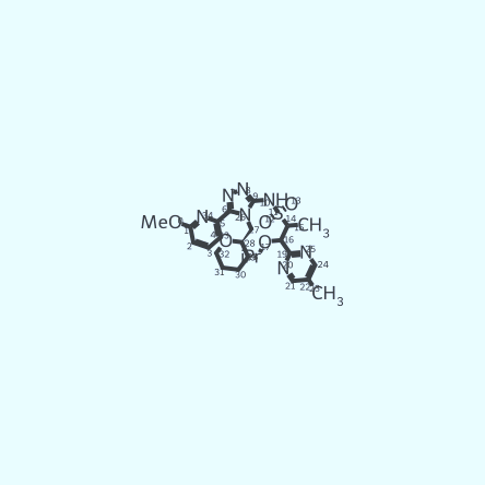 COc1cccc(-c2nnc(NS(=O)(=O)C(C)C(OC(C)C)c3ncc(C)cn3)n2C[C@H]2CCCCO2)n1